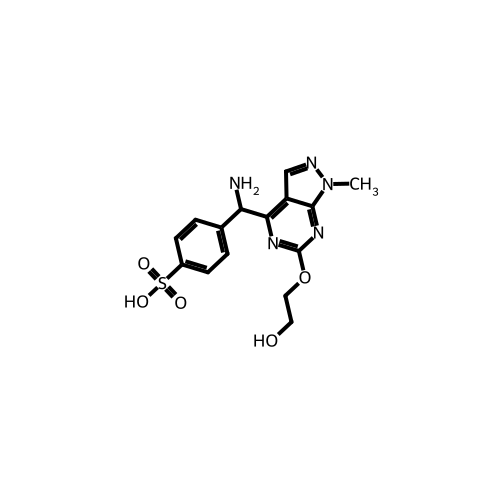 Cn1ncc2c(C(N)c3ccc(S(=O)(=O)O)cc3)nc(OCCO)nc21